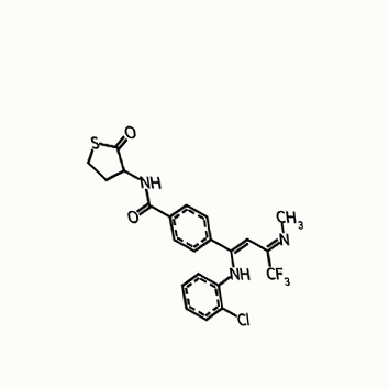 C/N=C(\C=C(/Nc1ccccc1Cl)c1ccc(C(=O)NC2CCSC2=O)cc1)C(F)(F)F